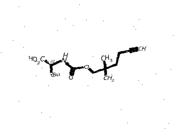 C#CCCC(C)(C)COC(=O)N[C@H](C(=O)O)C(C)(C)C